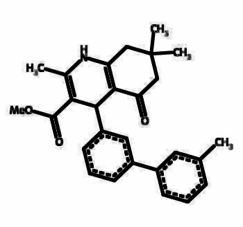 COC(=O)C1=C(C)NC2=C(C(=O)CC(C)(C)C2)C1c1cccc(-c2cccc(C)c2)c1